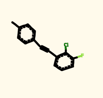 Cc1ccc(C#Cc2cccc(F)c2Cl)cc1